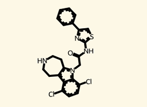 O=C(Cn1c2c(c3c(Cl)ccc(Cl)c31)CCNCC2)Nc1nc(-c2ccccc2)cs1